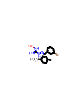 Cc1ccc(S(=O)(=O)O)cc1.N=C(NO)N/N=C/c1cccc(Br)c1